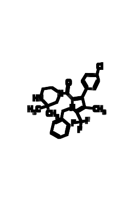 Cc1c(-c2ccc(Cl)cc2)c(C(=O)N2CCNC(C)(C)C2)n(Cc2ccccc2)c1C(F)(F)F